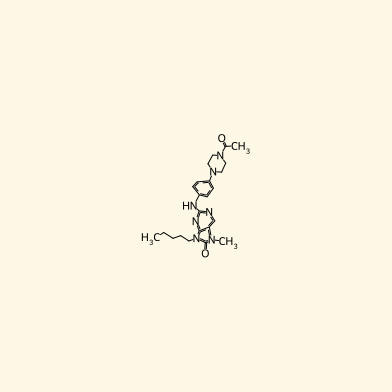 CCCCCn1c(=O)n(C)c2cnc(Nc3ccc(N4CCN(C(C)=O)CC4)cc3)nc21